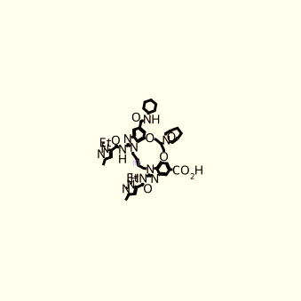 CCn1nc(C)cc1C(=O)Nc1nc2cc(C(=O)O)cc3c2n1C/C=C/Cn1c(NC(=O)c2cc(C)nn2CC)nc2cc(C(=O)NC4CCCCC4)cc(c21)OCC(N1CC2CCC(C1)O2)CO3